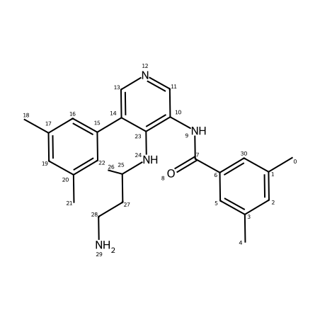 Cc1cc(C)cc(C(=O)Nc2cncc(-c3cc(C)cc(C)c3)c2NC(C)CCN)c1